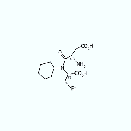 CC(C)C[C@@H](C(=O)O)N(C(=O)[C@@H](N)CC(=O)O)C1CCCCC1